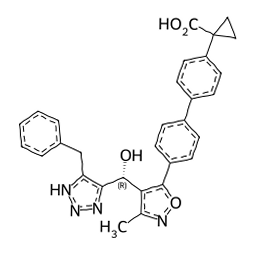 Cc1noc(-c2ccc(-c3ccc(C4(C(=O)O)CC4)cc3)cc2)c1[C@@H](O)c1nn[nH]c1Cc1ccccc1